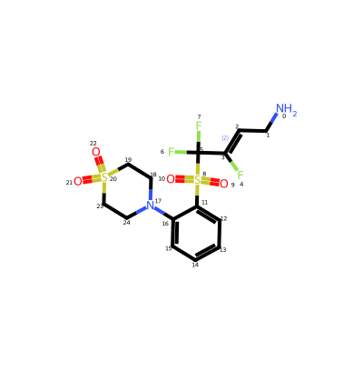 NC/C=C(\F)C(F)(F)S(=O)(=O)c1ccccc1N1CCS(=O)(=O)CC1